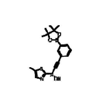 Cc1cnc([C@@H](O)C#Cc2cccc(B3OC(C)(C)C(C)(C)O3)c2)s1